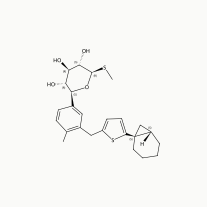 CS[C@H]1O[C@@H](c2ccc(C)c(Cc3ccc([C@]45CCCC[C@H]4C5)s3)c2)[C@H](O)[C@@H](O)[C@@H]1O